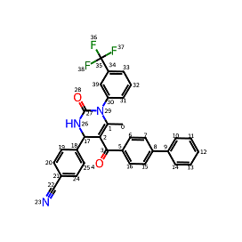 CC1=C(C(=O)c2ccc(-c3ccccc3)cc2)C(c2ccc(C#N)cc2)NC(=O)N1c1cccc(C(F)(F)F)c1